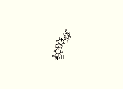 Cc1ncc(C)c(N2CCC(Oc3ccc4[nH]ncc4c3)CC2)n1